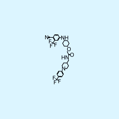 N#Cc1ccc(N[C@H]2CC[C@H](OCC(=O)NCC3CCN(c4ccc(C(F)(F)F)cc4)CC3)CC2)cc1C(F)(F)F